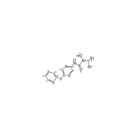 CCC(CC)N(O)C(=O)Nc1ccc(Cc2ccccc2)cc1